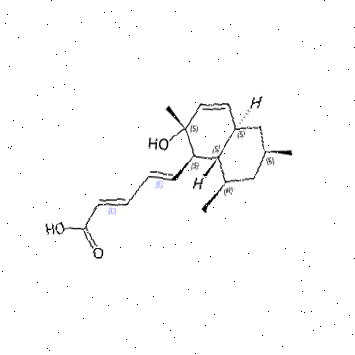 C[C@H]1C[C@@H](C)[C@@H]2[C@@H](/C=C/C=C/C(=O)O)[C@](C)(O)C=C[C@H]2C1